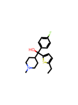 CCc1ccc(C(O)(c2ccc(F)cc2)C2CCN(C)CC2)s1